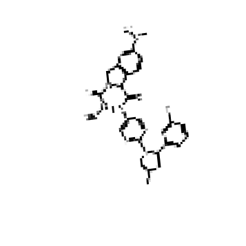 CC1CC(c2cccc(F)c2)N(c2ccc(NC(=O)C3c4ccc([S+](C)[O-])cc4CN3C(=O)OC(C)(C)C)cn2)C1